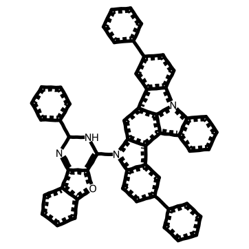 c1ccc(-c2ccc3c(c2)c2c4c5ccccc5n5c6ccc(-c7ccccc7)cc6c(cc2n3C2=c3oc6ccccc6c3=NC(c3ccccc3)N2)c45)cc1